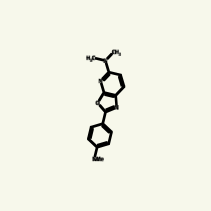 CNc1ccc(-c2nc3ccc(N(C)C)nc3o2)cc1